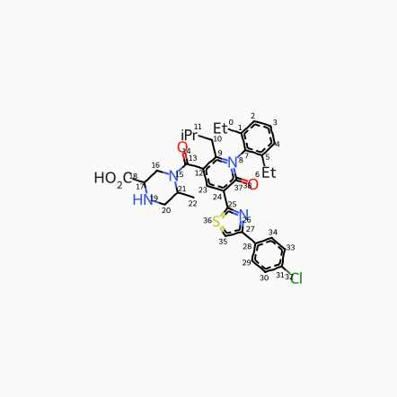 CCc1cccc(CC)c1-n1c(CC(C)C)c(C(=O)N2CC(C(=O)O)NCC2C)cc(-c2nc(-c3ccc(Cl)cc3)cs2)c1=O